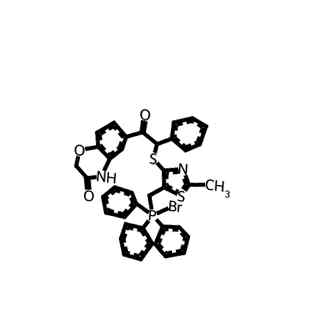 Cc1nc(SC(C(=O)c2ccc3c(c2)NC(=O)CO3)c2ccccc2)c(CP(Br)(c2ccccc2)(c2ccccc2)c2ccccc2)s1